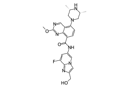 COc1ncc2c(N3C[C@@H](C)N[C@@H](C)C3)ccc(C(=O)Nc3cc(F)c4nc(CO)cn4c3)c2n1